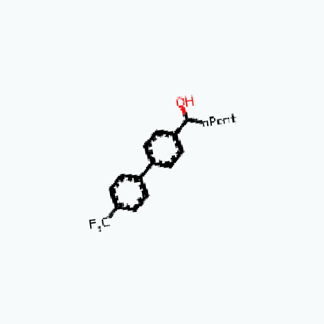 CCCCCC(O)c1ccc(-c2ccc(C(F)(F)F)cc2)cc1